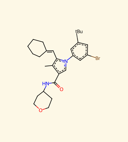 Cc1c(C(=O)NC2CCOCC2)cn(-c2cc(Br)cc(C(C)(C)C)c2)c1C=C1CCCCC1